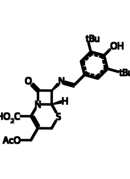 CC(=O)OCC1=C(C(=O)O)N2C(=O)[C@@H](N=Cc3cc(C(C)(C)C)c(O)c(C(C)(C)C)c3)[C@@H]2SC1